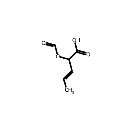 CC=CC(OC=O)C(=O)O